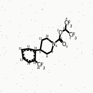 O=C(OC(C(F)(F)F)C(F)(F)F)N1CCC(c2ccccc2C(F)(F)F)CC1